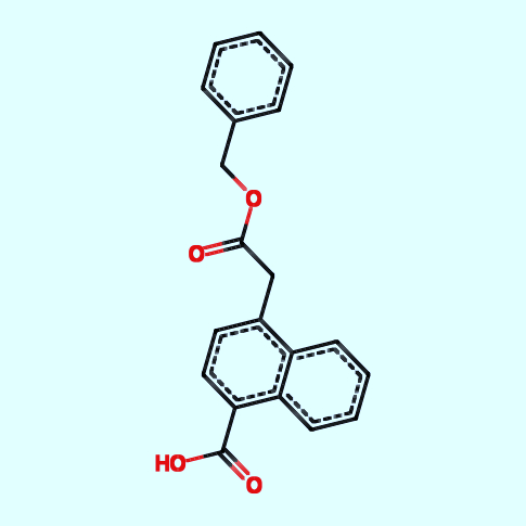 O=C(Cc1ccc(C(=O)O)c2ccccc12)OCc1ccccc1